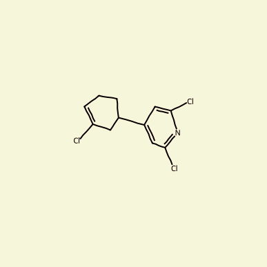 ClC1=CCCC(c2cc(Cl)nc(Cl)c2)C1